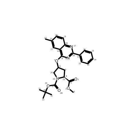 COC(=O)[C@@H]1CC(Oc2nc(-c3ccccc3)nc3ccc(C)cc23)CN1C(=O)OC(C)(C)C